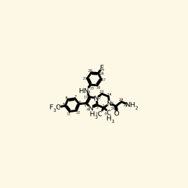 CC1(C)c2nc(-c3ccc(C(F)(F)F)cc3)c(Nc3ccc(F)cc3)n2CCN1C(=O)CN